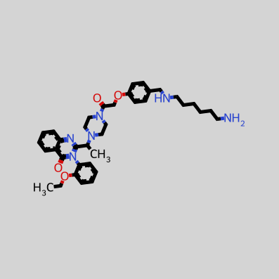 CCOc1ccccc1-n1c(C(C)N2CCN(C(=O)COc3ccc(CNCCCCCCN)cc3)CC2)nc2ccccc2c1=O